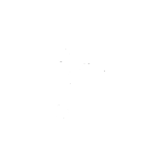 O=C(C=C(c1ccc(Br)cc1)c1ccc(Br)cc1)OCc1ccccc1